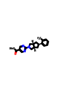 COC(=O)c1cnc(N2C[C@H]3C[C@@H](c4ccccc4C(F)(F)F)C[C@H]3C2)nc1